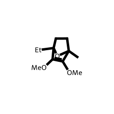 CCC12CCC(C)(O1)C(OC)=C2OC